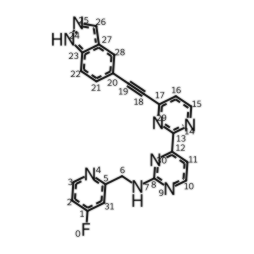 Fc1ccnc(CNc2nccc(-c3nccc(C#Cc4ccc5[nH]ncc5c4)n3)n2)c1